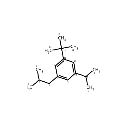 C[C](C)c1cc(CC(C)C)cc(C(C)(C)C)c1